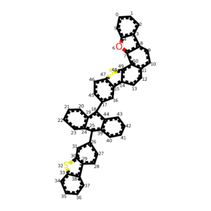 c1ccc2c(c1)oc1c2ccc2ccc3c4cc(-c5c6ccccc6c(-c6ccc7c(c6)sc6ccccc67)c6ccccc56)ccc4sc3c21